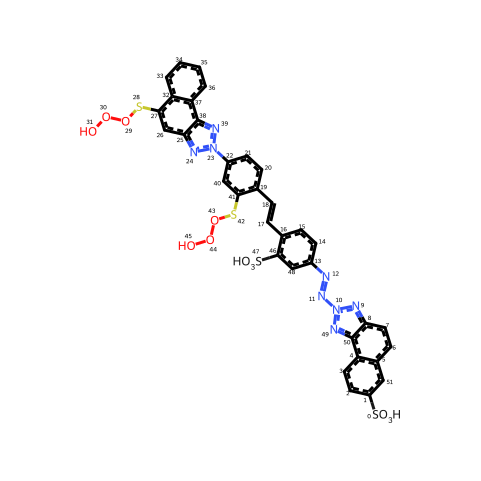 O=S(=O)(O)c1ccc2c(ccc3nn(N=Nc4ccc(C=Cc5ccc(-n6nc7cc(SOOO)c8ccccc8c7n6)cc5SOOO)c(S(=O)(=O)O)c4)nc32)c1